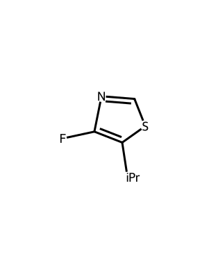 CC(C)c1scnc1F